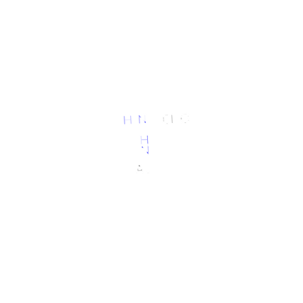 CC(=O)NCC(N)[C]=O